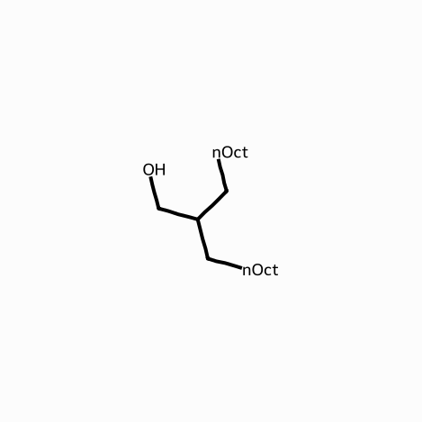 CCCCCCCCCC(CO)CCCCCCCCC